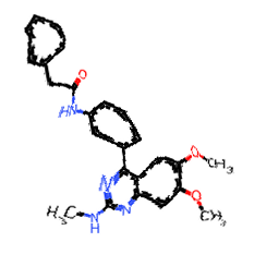 CNc1nc(-c2cccc(NC(=O)Cc3ccccc3)c2)c2cc(OC)c(OC)cc2n1